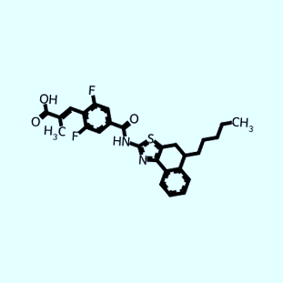 CCCCCC1Cc2sc(NC(=O)c3cc(F)c(/C=C(\C)C(=O)O)c(F)c3)nc2-c2ccccc21